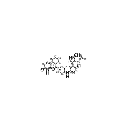 Cn1ncc(-c2nc(NC3CCN(Cc4ccccc4N4CCC(=O)NC4=O)CC3)ncc2Cl)c1CC1CC1